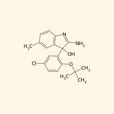 Cc1ccc2c(c1)C(O)(c1cc(Cl)ccc1OC(C)(C)C)C(N)=N2